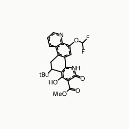 COC(=O)c1c(O)c2c([nH]c1=O)-c1cc(OC(F)F)c3ncccc3c1CC2C(C)(C)C